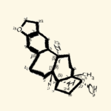 C[C@]12CC[C@@H]3c4cc5c(cc4CC[C@H]3[C@@H]1CC[C@H]2O)OCC5